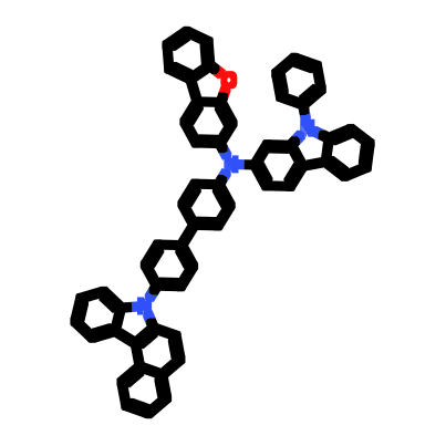 c1ccc(-n2c3ccccc3c3ccc(N(c4ccc(-c5ccc(-n6c7ccccc7c7c8ccccc8ccc76)cc5)cc4)c4ccc5c(c4)oc4ccccc45)cc32)cc1